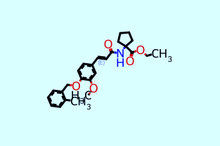 CCOC(=O)C1(NC(=O)/C=C/c2ccc(OCc3ccccc3C)c(OC)c2)CCCC1